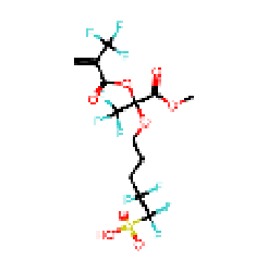 C=C(C(=O)OC(OCCCC(F)(F)C(F)(F)S(=O)(=O)O)(C(=O)OC)C(F)(F)F)C(F)(F)F